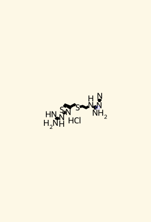 Cl.N#C/N=C(/N)NCCSCc1csc(NC(=N)N)n1